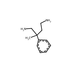 [CH2]C(CN)(CCN)c1ccccc1